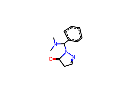 CN(C)C(c1ccccc1)N1N=CCC1=O